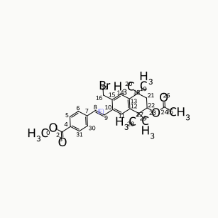 COC(=O)c1ccc(/C=C/c2cc3c(cc2CBr)C(C)(C)CC(OC(C)=O)C3(C)C)cc1